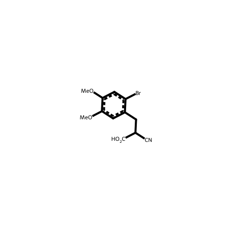 COc1cc(Br)c(CC(C#N)C(=O)O)cc1OC